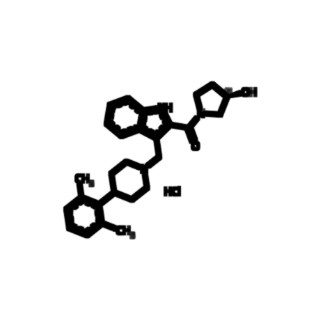 Cc1cccc(C)c1C1CCN(Cc2c(C(=O)N3CC[C@@H](O)C3)[nH]c3ccccc23)CC1.Cl